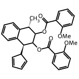 COc1ccccc1C(=O)OC1C(OC(=O)c2ccccc2OC)[C@@H](C)c2ccccc2[C@@H]1C1C=CC=C1